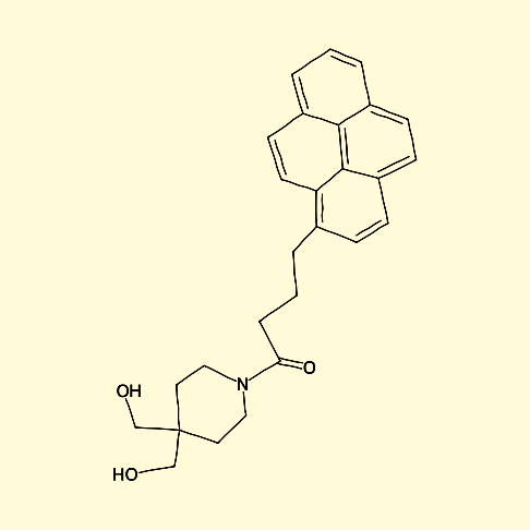 O=C(CCCc1ccc2ccc3cccc4ccc1c2c34)N1CCC(CO)(CO)CC1